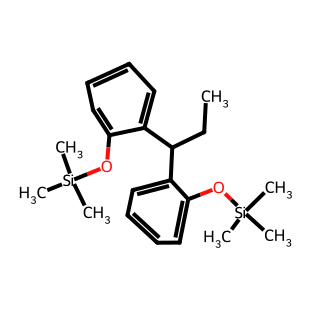 CCC(c1ccccc1O[Si](C)(C)C)c1ccccc1O[Si](C)(C)C